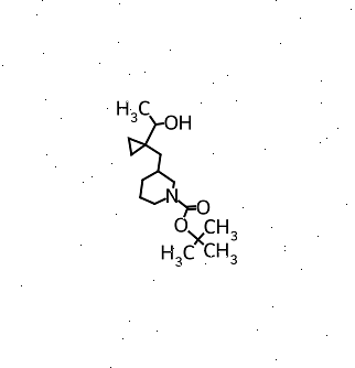 CC(O)C1(CC2CCCN(C(=O)OC(C)(C)C)C2)CC1